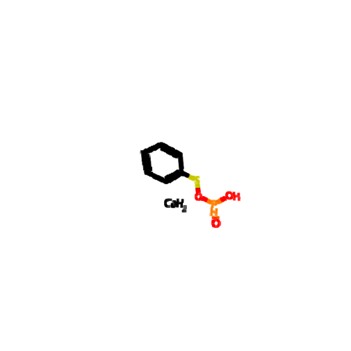 O=[PH](O)OSc1ccccc1.[CaH2]